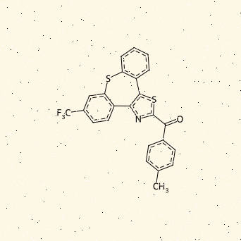 Cc1ccc(C(=O)c2nc3c(s2)-c2ccccc2Sc2cc(C(F)(F)F)ccc2-3)cc1